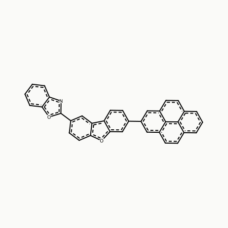 c1cc2ccc3cc(-c4ccc5c(c4)oc4ccc(-c6nc7ccccc7o6)cc45)cc4ccc(c1)c2c34